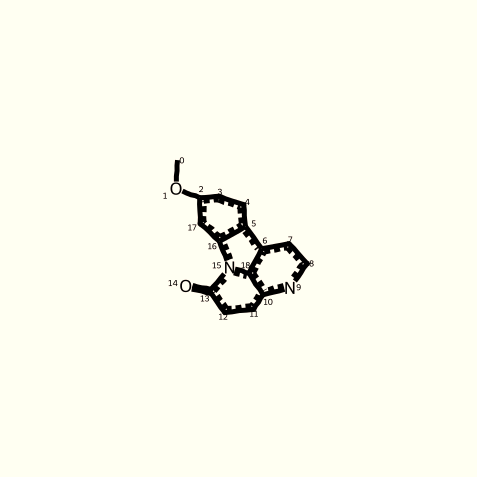 COc1ccc2c3ccnc4ccc(=O)n(c2c1)c43